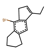 CCC1=CCc2c1cc1c(c2Br)CCCC1